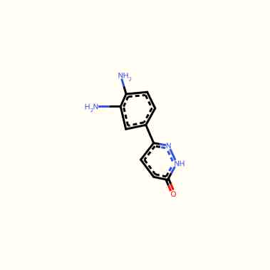 Nc1ccc(-c2ccc(=O)[nH]n2)cc1N